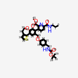 CCCNC(=O)c1ccc(-c2cc3c(cc2COc2ccc(CNC(=O)OC(C)(C)C)cc2)-c2sccc2CCO3)c(C(=O)OC)n1